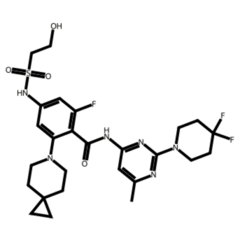 Cc1cc(NC(=O)c2c(F)cc(NS(=O)(=O)CCO)cc2N2CCC3(CC2)CC3)nc(N2CCC(F)(F)CC2)n1